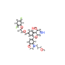 COCCCN1CCOc2ccc(CO[C@H]3CNC[C@@H](O)[C@@H]3c3ccc(COC[C@H](C)Oc4cc(F)ccc4F)cc3)cc21